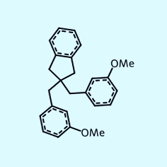 COc1cccc(CC2(Cc3cccc(OC)c3)Cc3ccccc3C2)c1